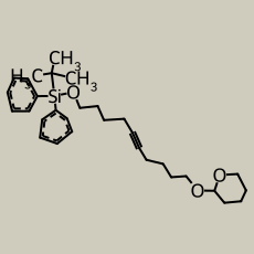 CC(C)(C)[Si](OCCCCC#CCCCCOC1CCCCO1)(c1ccccc1)c1ccccc1